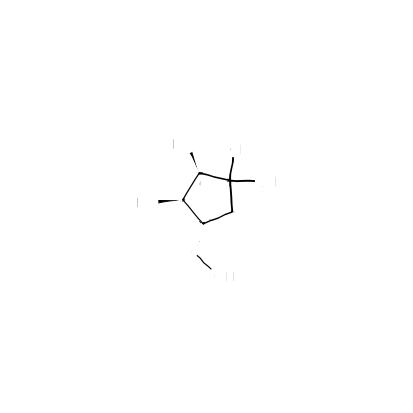 C[C@@H]1[C@@H](CO)CC(C)(C)[C@@H]1C